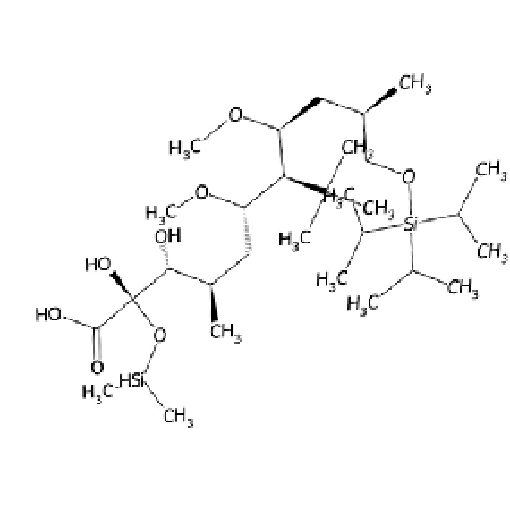 CO[C@@H](C[C@@H](C)CO[Si](C(C)C)(C(C)C)C(C)C)[C@H]([C@H](C[C@@H](C)[C@@H](O)[C@](O)(O[SiH](C)C)C(=O)O)OC)C(C)(C)C